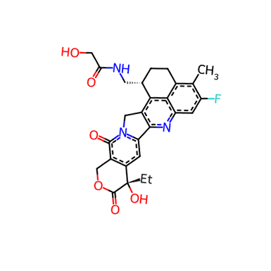 CC[C@@]1(O)C(=O)OCc2c1cc1n(c2=O)Cc2c-1nc1cc(F)c(C)c3c1c2[C@H](CNC(=O)CO)CC3